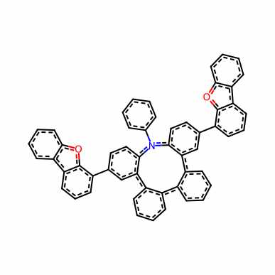 c1ccc(-n2c3ccc(-c4cccc5c4oc4ccccc45)cc3c3ccccc3c3ccccc3c3cc(-c4cccc5c4oc4ccccc45)ccc32)cc1